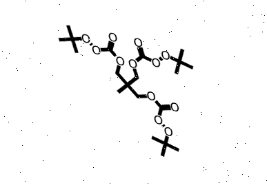 CC(COC(=O)OOC(C)(C)C)(COC(=O)OOC(C)(C)C)COC(=O)OOC(C)(C)C